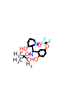 CC(C)(C)ON=C(c1cc(OC(F)(F)F)ccc1O)c1c(O)ccc[n+]1[O-]